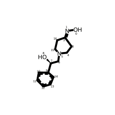 ON=C1CCN(C[C@H](O)c2ccccc2)CC1